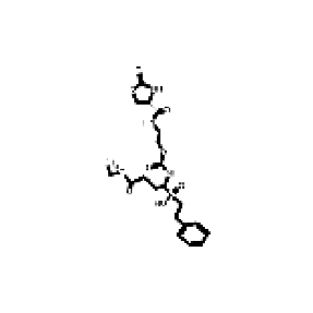 CCOC(=O)CCC(NC(=O)OCCNC(=O)[C@@H]1CSC(=O)N1)P(=O)(O)CCc1ccccc1